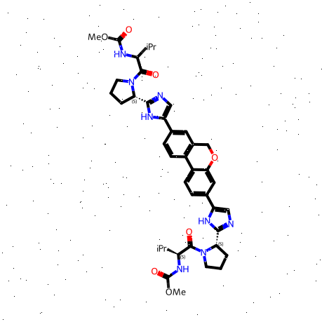 COC(=O)NC(C(=O)N1CCC[C@H]1c1ncc(-c2ccc3c(c2)COc2cc(-c4cnc([C@@H]5CCCN5C(=O)[C@@H](NC(=O)OC)C(C)C)[nH]4)ccc2-3)[nH]1)C(C)C